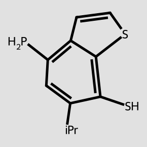 CC(C)c1cc(P)c2ccsc2c1S